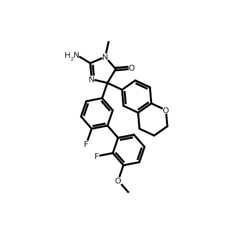 COc1cccc(-c2cc(C3(c4ccc5c(c4)CCCO5)N=C(N)N(C)C3=O)ccc2F)c1F